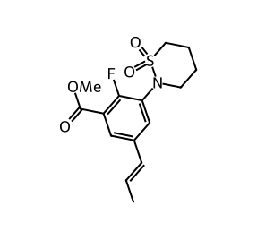 C/C=C/c1cc(C(=O)OC)c(F)c(N2CCCCS2(=O)=O)c1